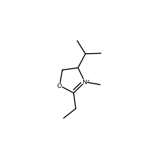 CCC1=[N+](C)C(C(C)C)CO1